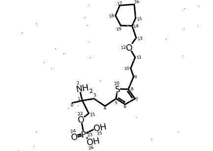 CC(N)(CCc1ccc(CCCOCC2CCCCC2)s1)COP(=O)(O)O